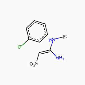 CCN/C(N)=C/[N+](=O)[O-].Clc1ccccc1